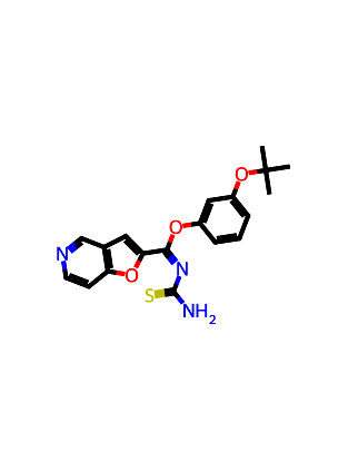 CC(C)(C)Oc1cccc(OC(=NC(N)=S)c2cc3cnccc3o2)c1